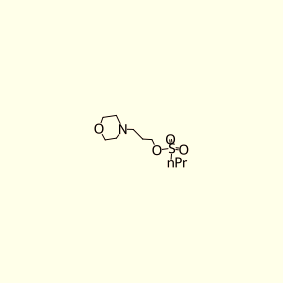 CCCS(=O)(=O)OCCCN1CCOCC1